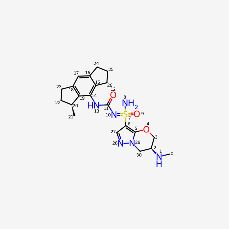 CN[C@@H]1COc2c(S(N)(=O)=NC(=O)Nc3c4c(cc5c3[C@@H](C)CC5)CCC4)cnn2C1